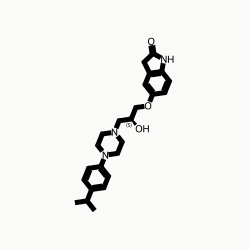 CC(C)c1ccc(N2CCN(C[C@H](O)COc3ccc4c(c3)CC(=O)N4)CC2)cc1